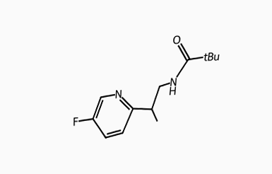 CC(CNC(=O)C(C)(C)C)c1ccc(F)cn1